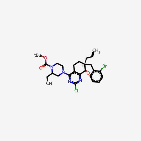 C=CC[C@]1(Cc2ccccc2Br)CCc2c(nc(Cl)nc2N2CCN(C(=O)OC(C)(C)C)C(CC#N)C2)C1=O